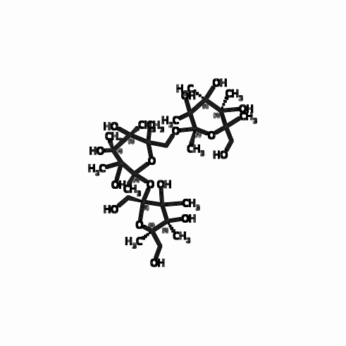 CC1(CO)O[C@](C)(OCC2(C)O[C@](C)(O[C@@]3(CO)O[C@](C)(CO)[C@](C)(O)C3(C)O)C(C)(O)[C@](C)(O)[C@]2(C)O)C(C)(O)[C@@](C)(O)[C@@]1(C)O